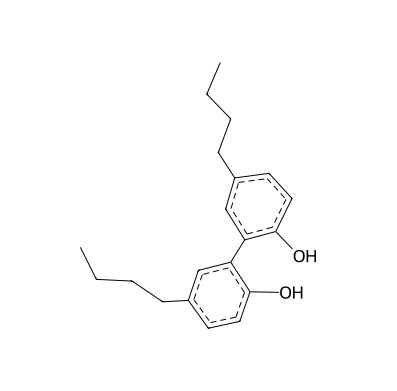 CCCCc1ccc(O)c(-c2cc(CCCC)ccc2O)c1